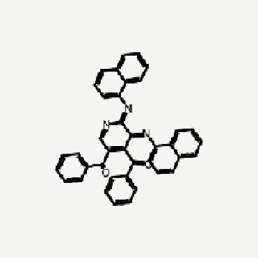 O=C(C1=C(C(=O)c2ccccc2)C(=Nc2cccc3ccccc23)C(=Nc2cccc3ccccc23)N=C1)c1ccccc1